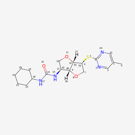 Cc1cnc(S[C@H]2CO[C@H]3[C@@H]2OC[C@@H]3NC(=O)NC2CCCCC2)nc1